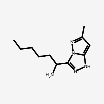 CCCCCC(N)c1n[nH]c2cc(C)nn12